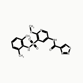 COc1ncc(NC(=O)c2csnn2)cc1S(=O)(=O)Nc1c(C)cccc1C